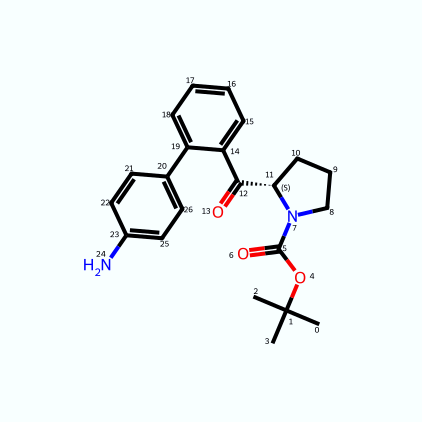 CC(C)(C)OC(=O)N1CCC[C@H]1C(=O)c1ccccc1-c1ccc(N)cc1